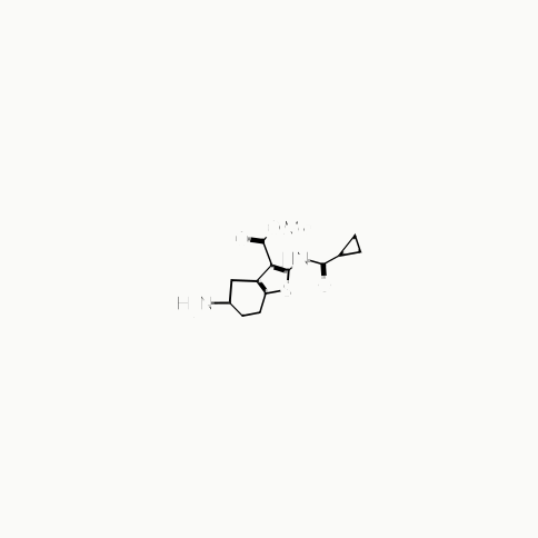 COC(=O)c1c(NC(=O)C2CC2)sc2c1CC(N)CC2